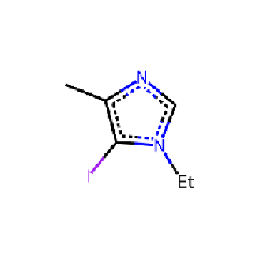 CCn1cnc(C)c1I